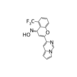 ON=c1cc(-c2cc3cccn3cn2)oc2cccc(C(F)(F)F)c12